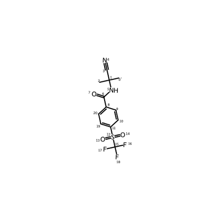 [CH2]C(C)(C#N)NC(=O)c1ccc(S(=O)(=O)C(F)(F)F)cc1